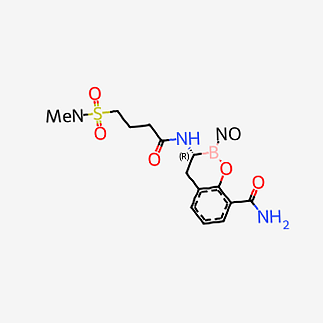 CNS(=O)(=O)CCCC(=O)N[C@H]1Cc2cccc(C(N)=O)c2OB1N=O